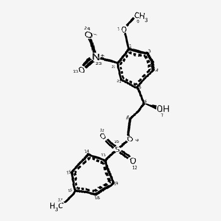 COc1ccc([C@@H](O)COS(=O)(=O)c2ccc(C)cc2)cc1[N+](=O)[O-]